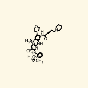 COc1cc(N2CCOCC2)c(NC(=O)C#CCCN2CCCCC2)cc1Nc1ncc(Cl)c(Nc2ccccc2P(C)(C)=O)n1